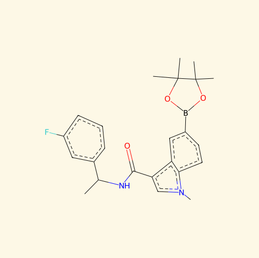 CC(NC(=O)c1cn(C)c2ccc(B3OC(C)(C)C(C)(C)O3)cc12)c1cccc(F)c1